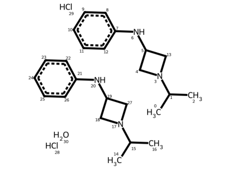 CC(C)N1CC(Nc2ccccc2)C1.CC(C)N1CC(Nc2ccccc2)C1.Cl.Cl.O